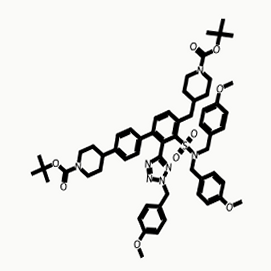 COc1ccc(CN(Cc2ccc(OC)cc2)S(=O)(=O)c2c(CC3CCN(C(=O)OC(C)(C)C)CC3)ccc(-c3ccc(C4CCN(C(=O)OC(C)(C)C)CC4)cc3)c2-c2nnn(Cc3ccc(OC)cc3)n2)cc1